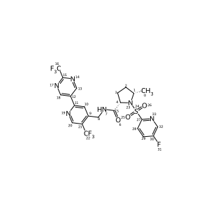 C[C@H]1CC[C@@H](C(=O)NCc2cc(-c3cnc(C(F)(F)F)nc3)ncc2C(F)(F)F)N1S(=O)(=O)c1ccc(F)cn1